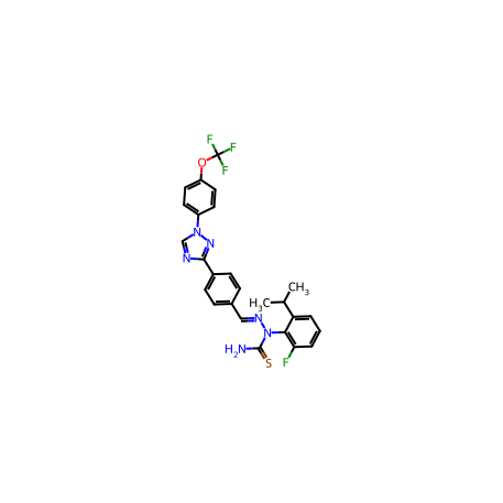 CC(C)c1cccc(F)c1N(/N=C/c1ccc(-c2ncn(-c3ccc(OC(F)(F)F)cc3)n2)cc1)C(N)=S